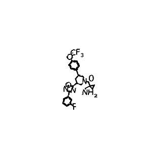 NCC1(C(=O)N2CC(c3ccc(OC(F)(F)F)cc3)CC(c3nc(-c4cccc(F)c4)no3)C2)CC1